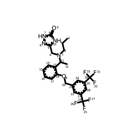 CCCN(Cc1n[nH]c(=O)[nH]1)C(C)c1ccccc1OCc1cc(C(F)(F)F)cc(C(F)(F)F)c1